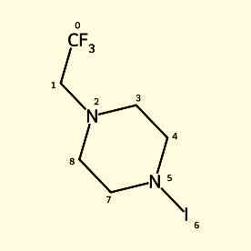 FC(F)(F)CN1CCN(I)CC1